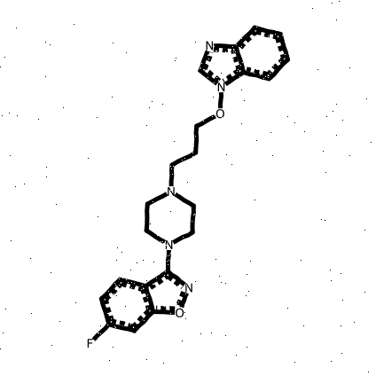 Fc1ccc2c(N3CCN(CCCOn4cnc5ccccc54)CC3)noc2c1